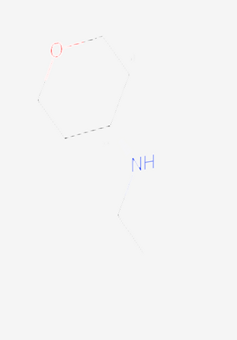 CCN[C@@H]1CCOC[C@@H]1C